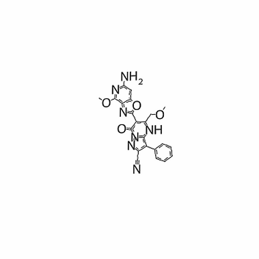 COCc1[nH]c2c(-c3ccccc3)c(C#N)nn2c(=O)c1-c1nc2c(OC)nc(N)cc2o1